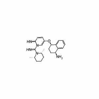 C[C@@H]1CCC[C@H](C)N1C(=N)n1cc(O[C@@H]2CC[C@H](N)c3ccccc32)ccc1=N